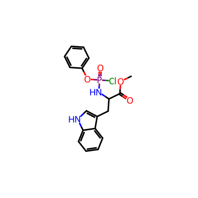 COC(=O)C(Cc1c[nH]c2ccccc12)NP(=O)(Cl)Oc1ccccc1